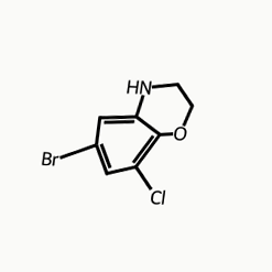 Clc1cc(Br)cc2c1OCCN2